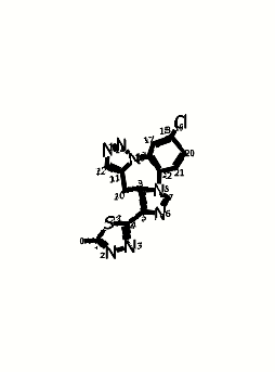 Cc1nnc(-c2ncn3c2Cc2cnnn2-c2cc(Cl)ccc2-3)s1